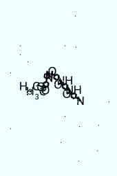 CCOc1cc(C2=NN(C(=O)c3ccc(NC(=O)c4ccc(NC(=O)c5ccc(C#N)cc5)cc4)cc3)CCC2)ccc1OC